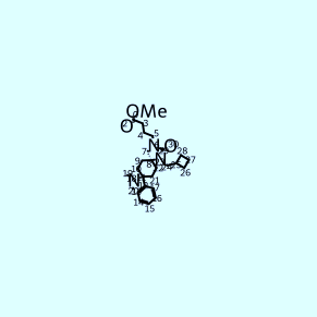 COC(=O)CCCN1C[C@]2(CC[C@](c3ccccc3)(N(C)C)CC2)N(CC2CCC2)C1=O